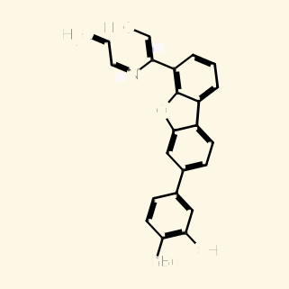 C=C/C=N\C(=C/C)c1cccc2c1oc1cc(-c3ccc(CCCC)c(C)c3)ccc12